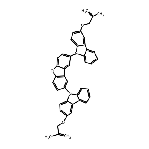 C=C(C)COc1ccc2c(c1)c1ccccc1n2-c1ccc2oc3ccc(-n4c5ccccc5c5cc(OCC(=C)C)ccc54)cc3c2c1